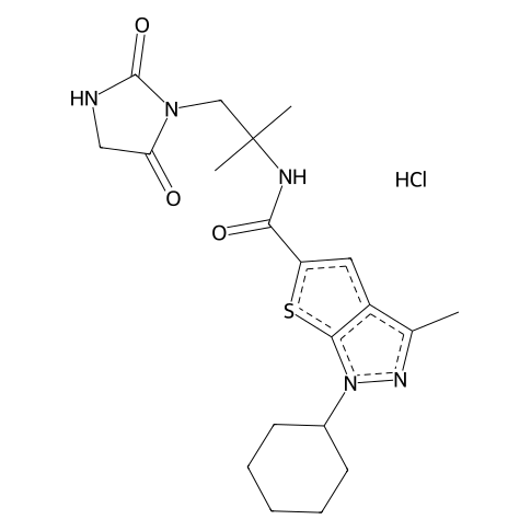 Cc1nn(C2CCCCC2)c2sc(C(=O)NC(C)(C)CN3C(=O)CNC3=O)cc12.Cl